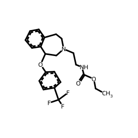 CCOC(=O)NCCN1CCc2ccccc2C(Oc2ccc(C(F)(F)F)cc2)C1